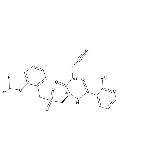 N#CCNC(=O)[C@H](CS(=O)(=O)Cc1ccccc1OC(F)F)NC(=O)c1cccnc1O